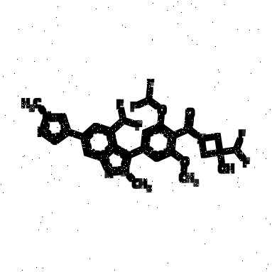 COc1cc(-c2c3c(C(F)F)cc(-c4cnn(C)c4)cc3nn2C)cc(OC(F)F)c1C(=O)N1CC(O)(C(F)F)C1